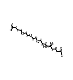 CC(C)CCCOCCOCCOCCCNC(=O)CCCC(C)C